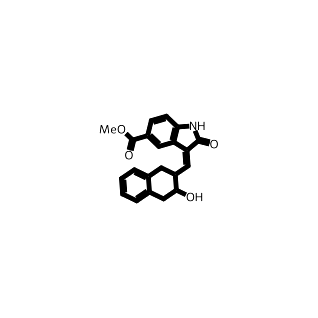 COC(=O)c1ccc2c(c1)C(=CC1Cc3ccccc3CC1O)C(=O)N2